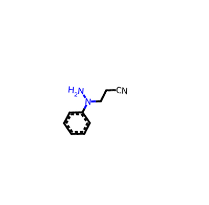 N#CCCN(N)c1ccccc1